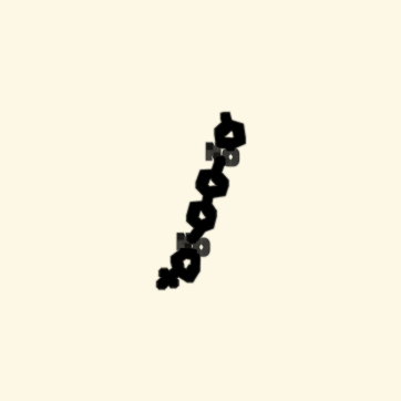 Cc1ccc2oc(-c3ccc(-c4ccc(-c5nc6cc(C(C)(C)C)ccc6o5)cc4)cc3)nc2c1